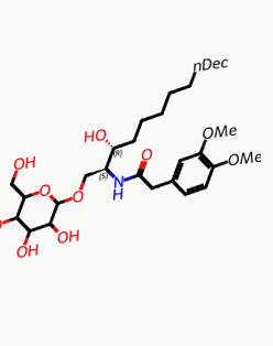 CCCCCCCCCCCCCCC[C@@H](O)[C@H](COC1OC(CO)C(O)C(O)C1O)NC(=O)Cc1ccc(OC)c(OC)c1